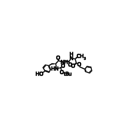 C[C@H](NC(=O)CNC(=O)[C@H](Cc1ccc(O)cc1)NC(=O)OC(C)(C)C)C(=O)OCc1ccccc1